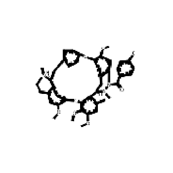 COc1cc2c3cc1Oc1ccc(cc1)C[C@H]1c4cc(c(OC)cc4CCN1C)Oc1c(OC)c(OC)cc(C)c1[C@H](C3)N(C)N2C(=O)c1ccc(Cl)cc1